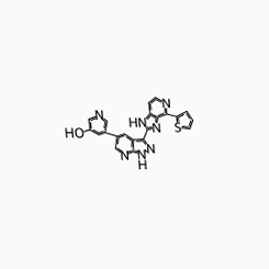 Oc1cncc(-c2cnc3[nH]nc(-c4nc5c(-c6cccs6)nccc5[nH]4)c3c2)c1